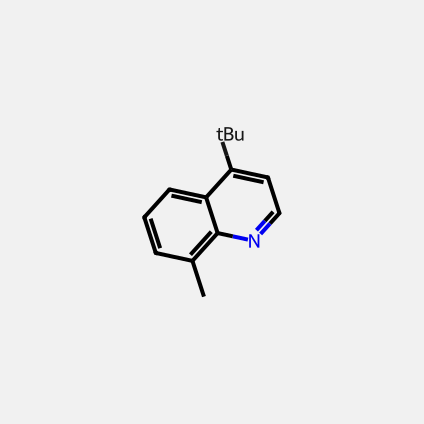 Cc1cccc2c(C(C)(C)C)ccnc12